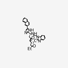 CCC(=O)CCCC(=O)C[C@H](NCCn1c(C(F)(F)F)nc2ccccc21)c1ncc(-c2ccc3ccccc3c2)[nH]1